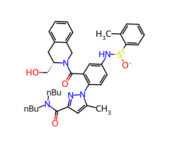 CCCCN(CCCC)C(=O)c1cc(C)n(-c2ccc(N[S+]([O-])c3ccccc3C)cc2C(=O)N2Cc3ccccc3C[C@H]2CO)n1